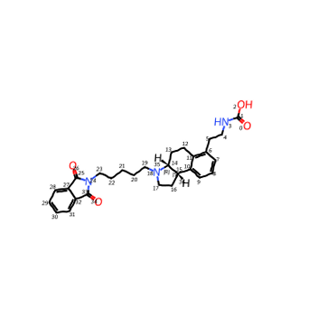 O=C(O)NCCc1cccc2c1CC[C@@H]1[C@H]2CCN1CCCCCN1C(=O)c2ccccc2C1=O